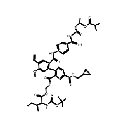 C=Cc1cc(C(=O)Nc2ccc(C(=N)NC(=O)OC(C)OC(=O)C(C)C)cc2)c(-c2ccc(C(=O)NCC3CC3)nc2C(=O)OCOC(=O)C(NC(=O)OC(C)(C)C)C(C)CC)cc1OC